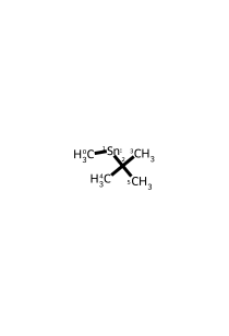 [CH3][Sn][C](C)(C)C